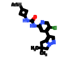 CC(=O)NC1CC(NC(=O)Nc2cc(-c3cnn4c3CC(C)(C)C4)c(Cl)cn2)C1